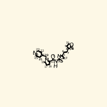 O=C(Nc1nc(C=Cc2ccon2)cs1)c1cccn1Cc1ccncc1